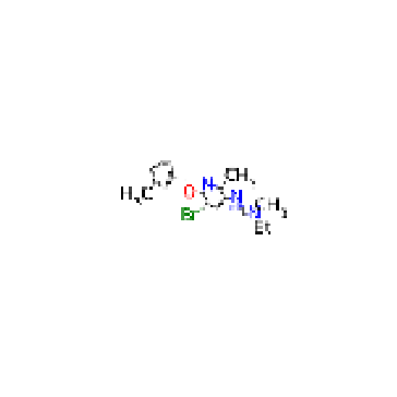 CCN(C)/C=N/c1cc(Br)c(OCc2cccc(C)c2)nc1C